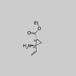 C=C[C@@]1(N)C[C@H]1C(=O)OCC